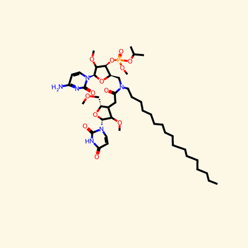 CCCCCCCCCCCCCCCCCN(C[C@H]1O[C@@H](n2ccc(N)nc2=O)C(OC)[C@H]1OP(=O)(OC)OC(C)C)C(=O)CC1C(OC)[C@H](n2ccc(=O)[nH]c2=O)O[C@@H]1COC